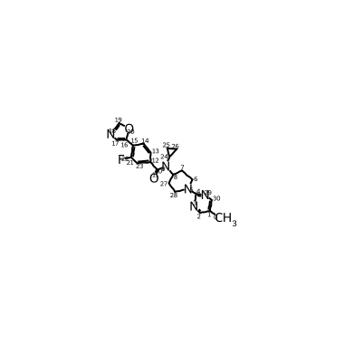 Cc1cnc(N2CCC(N(C(=O)c3ccc(-c4cnco4)c(F)c3)C3CC3)CC2)nc1